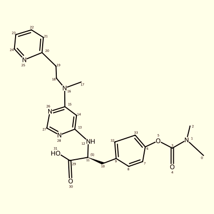 CN(C)C(=O)Oc1ccc(C[C@H](Nc2cc(N(C)CCc3ccccn3)ncn2)C(=O)O)cc1